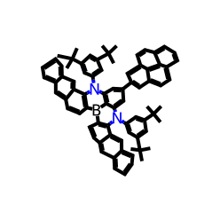 CC(C)(C)c1cc(N2c3cc(-c4cc5ccc6cccc7ccc(c4)c5c67)cc4c3B(c3ccc5cc6ccccc6cc5c32)c2ccc3cc5ccccc5cc3c2N4c2cc(C(C)(C)C)cc(C(C)(C)C)c2)cc(C(C)(C)C)c1